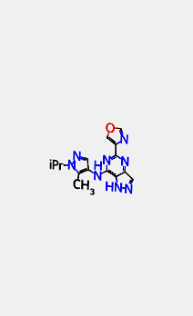 Cc1c(Nc2nc(-c3cocn3)nc3cn[nH]c23)cnn1C(C)C